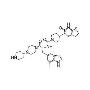 Cc1cc(C[C@@H](NC(=O)N2CCC(c3cc4c([nH]c3=O)SCC4)CC2)C(=O)N2CCN(C3CCNCC3)CC2)cc2cn[nH]c12